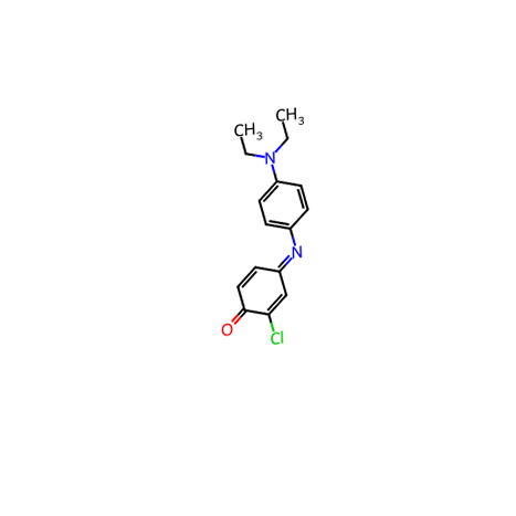 CCN(CC)c1ccc(N=C2C=CC(=O)C(Cl)=C2)cc1